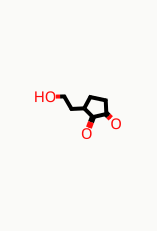 O=C1CCC(CCO)C1=O